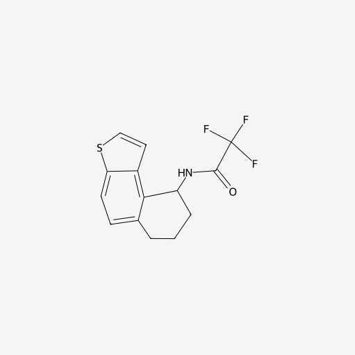 O=C(NC1CCCc2ccc3sccc3c21)C(F)(F)F